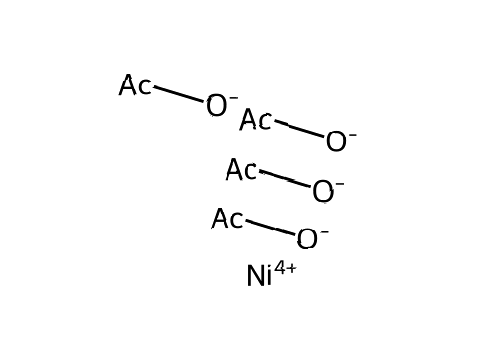 CC(=O)[O-].CC(=O)[O-].CC(=O)[O-].CC(=O)[O-].[Ni+4]